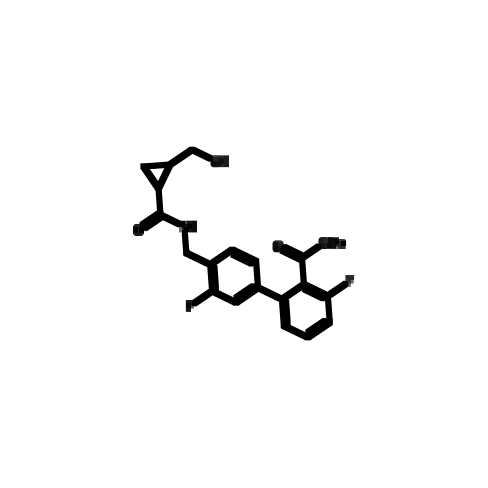 COC(=O)c1c(F)cccc1-c1ccc(CNC(=O)C2CC2CO)c(F)c1